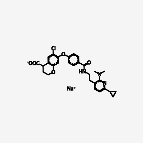 CN(C)c1nc(C2CC2)ccc1CCNC(=O)c1ccc(Oc2cc3c(cc2Cl)C(C(=O)[O-])CCO3)cc1.[Na+]